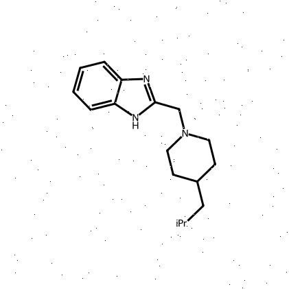 CC(C)CC1CCN(Cc2nc3ccccc3[nH]2)CC1